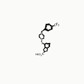 O=C(O)C1Cc2cccc(SN3CCN(Cc4ccc(C(F)(F)F)cc4)CC3)c2C1